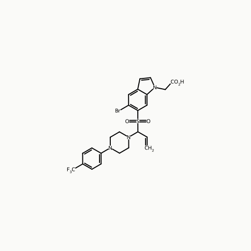 C=CC(N1CCN(c2ccc(C(F)(F)F)cc2)CC1)S(=O)(=O)c1cc2c(ccn2CC(=O)O)cc1Br